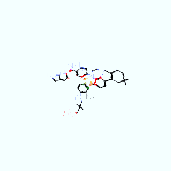 CC(C)(CO)CNc1ccc(S(=O)(=O)[N+]2(c3ccc(C(N)=O)c(Oc4cnc5[nH]ccc5c4)c3)CCN(CC3=C(c4ccc(Cl)cc4)CC(C)(C)CC3)CC2)cc1[N+](=O)[O-]